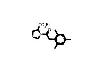 CCOC(=O)C1CSCN1C(=O)Cc1c(C)cc(C)cc1C